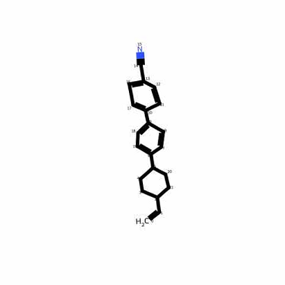 C=CC1CCC(c2ccc(-c3ccc(C#N)cc3)cc2)CC1